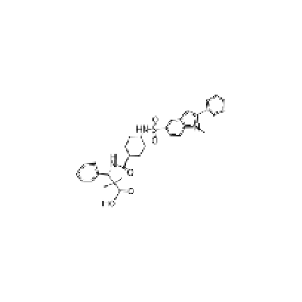 Cn1c(-c2ccccc2)cc2cc(S(=O)(=O)N[C@H]3CC[C@H](C(=O)N[C@@H](c4ccccc4)C(C)(C)C(=O)O)CC3)ccc21